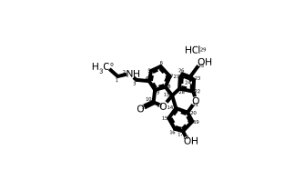 CCNCc1cccc2c1C(=O)OC21c2ccc(O)cc2Oc2cc(O)ccc21.Cl